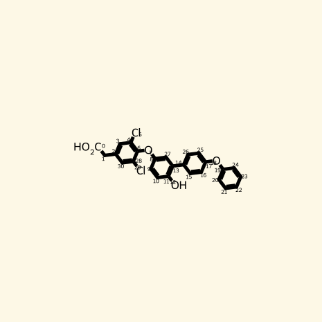 O=C(O)Cc1cc(Cl)c(Oc2ccc(O)c(-c3ccc(Oc4ccccc4)cc3)c2)c(Cl)c1